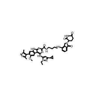 CCn1nc(C2CC2)cc1Nc1nc(C(=O)NCCCCNc2cccc3c2CN(C2CCC(=O)NC2=O)C3=O)nc2[nH]c3cc(-c4c(C)noc4C)c(OC)cc3c12